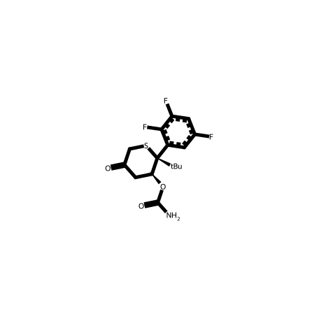 CC(C)(C)[C@]1(c2cc(F)cc(F)c2F)SCC(=O)C[C@@H]1OC(N)=O